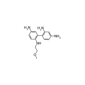 COCCNc1ccc(N)cc1-c1ccc(N)cc1N